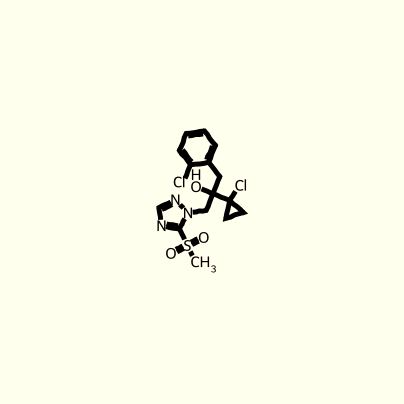 CS(=O)(=O)c1ncnn1CC(O)(Cc1ccccc1Cl)C1(Cl)CC1